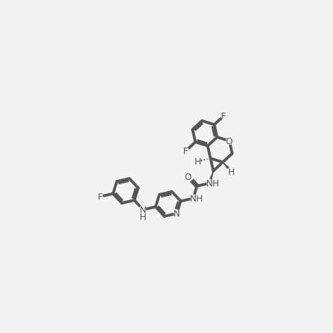 O=C(Nc1ccc(Nc2cccc(F)c2)cn1)N[C@@H]1[C@H]2COc3c(F)ccc(F)c3[C@@H]21